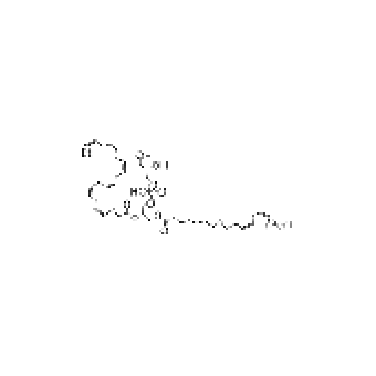 CC/C=C\C/C=C\C/C=C\C/C=C\C/C=C\C/C=C\CCC(=O)O[C@H](COC(=O)CCCCCCCCC/C=C\C/C=C\CCCCC)COP(=O)(O)OC[C@@H](O)CO